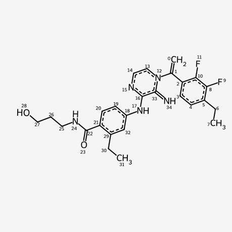 C=C(c1ccc(CC)c(F)c1F)n1ccnc(Nc2ccc(C(=O)NCCCO)c(CC)c2)c1=N